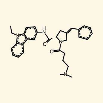 CCn1c2ccccc2c2cc(NC(=O)[C@@H]3CC(=Cc4ccccc4)CN3C(=O)CCCN(C)C)ccc21